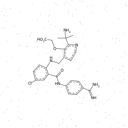 CC(C)(N)c1nccc(CNc2ccc(Cl)cc2C(=O)Nc2ccc(C(=N)N)cc2)c1OCC(=O)O